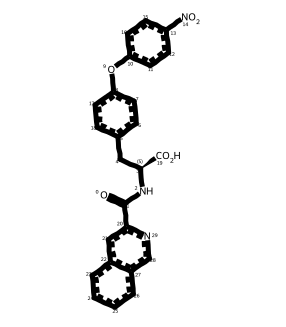 O=C(N[C@@H](Cc1ccc(Oc2ccc([N+](=O)[O-])cc2)cc1)C(=O)O)c1cc2ccccc2cn1